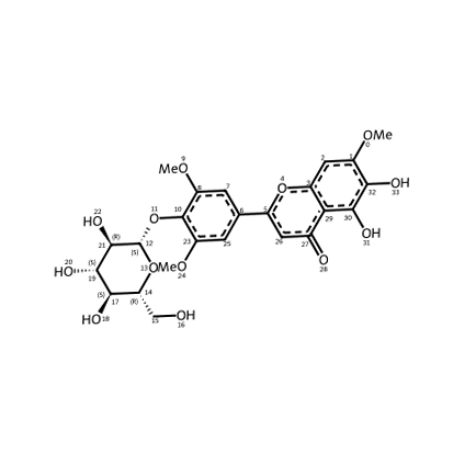 COc1cc2oc(-c3cc(OC)c(O[C@@H]4O[C@H](CO)[C@@H](O)[C@H](O)[C@H]4O)c(OC)c3)cc(=O)c2c(O)c1O